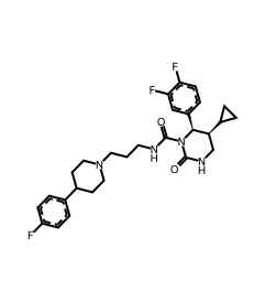 O=C(NCCCN1CCC(c2ccc(F)cc2)CC1)N1C(=O)NC[C@H](C2CC2)[C@@H]1c1ccc(F)c(F)c1